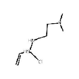 C=C[SiH](Cl)NCCN(C)C